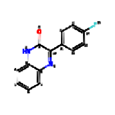 O=c1[nH]c2ccccc2nc1-c1ccc(F)cc1